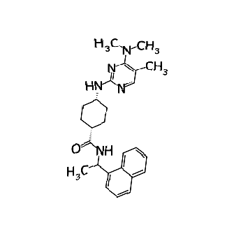 Cc1cnc(N[C@H]2CC[C@@H](C(=O)NC(C)c3cccc4ccccc34)CC2)nc1N(C)C